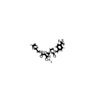 Cc1nc(N2CCN(Cc3ccc(C(F)(F)F)cc3)C2=O)sc1C(=O)NCc1nccs1